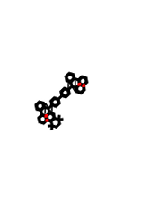 CC1(C)CCC(C)(C)c2cc(N(c3ccc(-c4ccc(N(c5ccccc5)c5ccccc5-c5ccccc5)cc4)cc3)c3ccccc3-c3ccccc3)ccc21